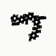 COc1cc(NC(=O)Nc2ccc(C)cc2)ccc1Nc1ncc(Cl)c(Nc2ccc(N3CCOCC3)c(OC)c2)n1